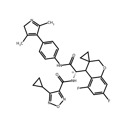 CC1=NCC(C)=C1c1ccc(NC(=O)[C@@H](NC(=O)c2nonc2C2CC2)C2c3c(F)cc(F)cc3OCC23CC3)cc1